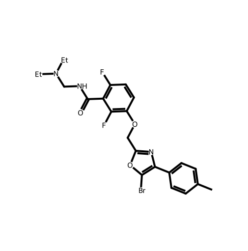 CCN(CC)CNC(=O)c1c(F)ccc(OCc2nc(-c3ccc(C)cc3)c(Br)o2)c1F